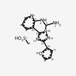 CS(=O)(=O)O.NC1Nc2ncccc2-c2nc(-c3ccco3)nn21